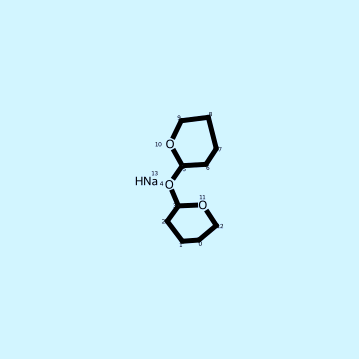 C1CCC(OC2CCCCO2)OC1.[NaH]